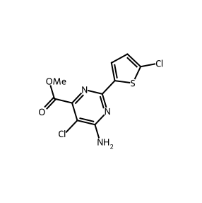 COC(=O)c1nc(-c2ccc(Cl)s2)nc(N)c1Cl